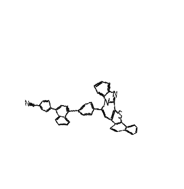 N#Cc1ccc(-c2ccc(-c3ccc(-c4cc5c6ccc7ccccc7c6sc5c5nc6ccccc6n45)cc3)c3ccccc23)cc1